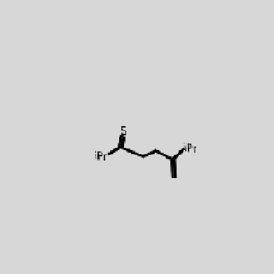 C=C(CCC(=S)C(C)C)C(C)C